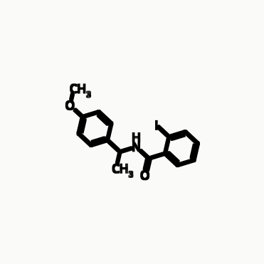 COc1ccc(C(C)NC(=O)c2ccccc2I)cc1